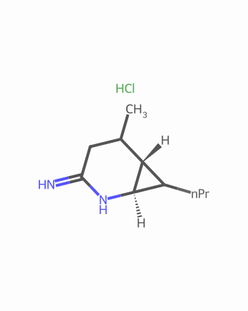 CCCC1[C@H]2C(C)CC(=N)N[C@H]12.Cl